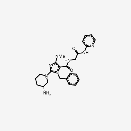 CNc1nc(N2CCC[C@@H](N)C2)n(Cc2ccccc2)c1C(=O)NCC(=O)Nc1ccccn1